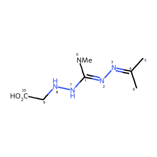 CN/C(=N\N=C(C)C)NNCC(=O)O